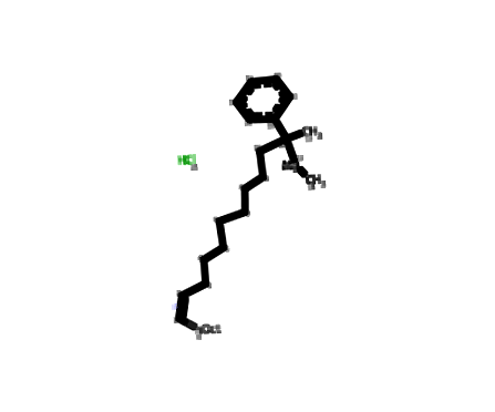 CCCCCCCC/C=C\CCCCCCCC[C](C)([Mg][CH3])c1ccccc1.Cl